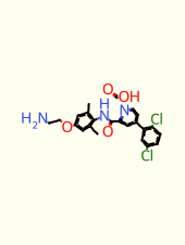 Cc1cc(OCCN)cc(C)c1NC(=O)c1cc(-c2cc(Cl)ccc2Cl)ccn1.O=CO